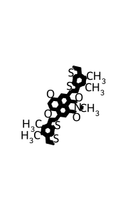 Cc1c(C)c2cc(-c3cc4c5c(c(-c6cc7c(C)c(C)c8ccsc8c7s6)cc6c5c3C(=O)CC6=O)C(=O)N(C)C4=O)sc2c2sccc12